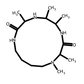 CC1NC(C)C(C)NC(=O)C(C)N(C)CCCCNC1=O